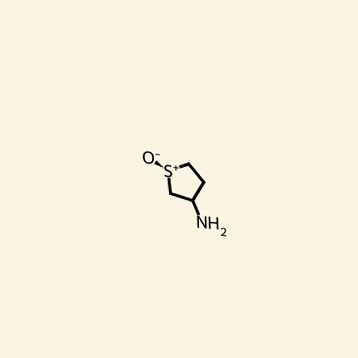 NC1CC[S@+]([O-])C1